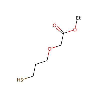 CCOC(=O)COCCCS